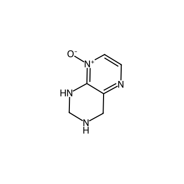 [O-][n+]1ccnc2c1NCNC2